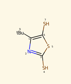 CC(C)(C)c1nc(S)sc1S